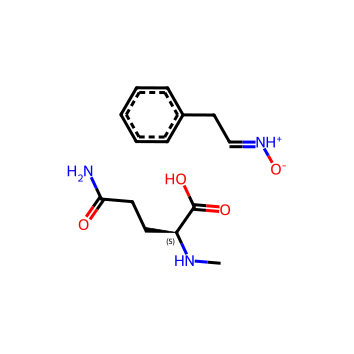 CN[C@@H](CCC(N)=O)C(=O)O.[O-][NH+]=CCc1ccccc1